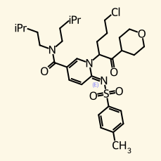 Cc1ccc(S(=O)(=O)/N=c2\ccc(C(=O)N(CCC(C)C)CCC(C)C)cn2C(CCCCl)C(=O)C2CCOCC2)cc1